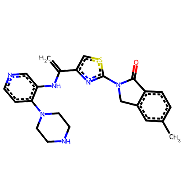 C=C(Nc1cnccc1N1CCNCC1)c1csc(N2Cc3cc(C)ccc3C2=O)n1